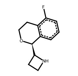 Fc1cccc2c1CCO[C@@H]2C1CCN1